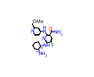 COCc1cc(Nc2nc(N[C@@H]3CCCC[C@@H]3N)c(F)cc2C(N)=O)ccn1